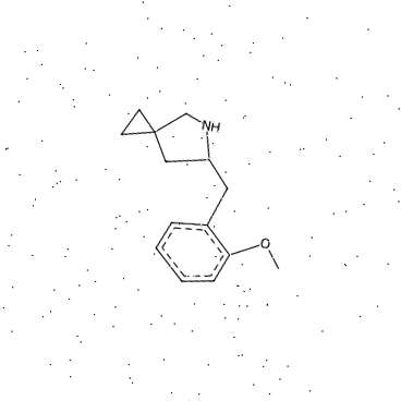 COc1ccccc1CC1CC2(CC2)CN1